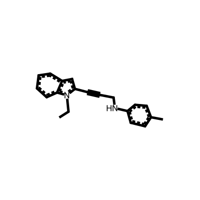 CCn1c(C#CCNc2ccc(C)cc2)cc2ccccc21